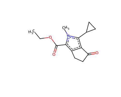 CCOC(=O)c1c2c(c(C3CC3)n1C)C(=O)CC2